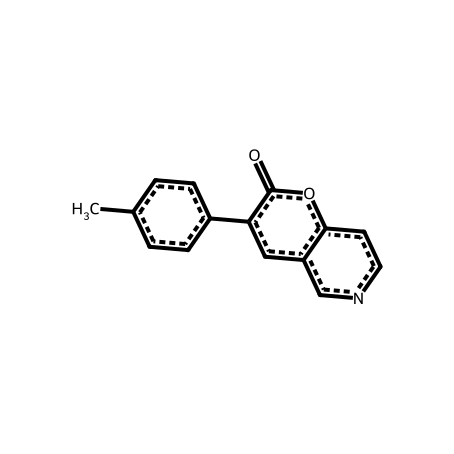 Cc1ccc(-c2cc3cnccc3oc2=O)cc1